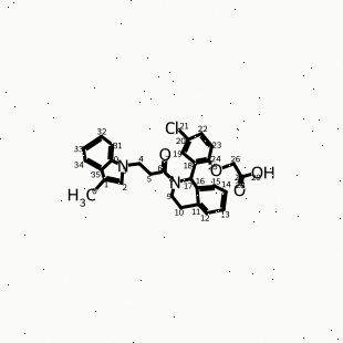 Cc1cn(CCC(=O)N2CCc3ccccc3C2c2cc(Cl)ccc2OCC(=O)O)c2ccccc12